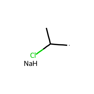 [CH2]C(C)Cl.[NaH]